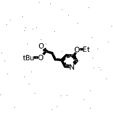 CCOc1cncc(CCC(=O)OC(C)(C)C)c1